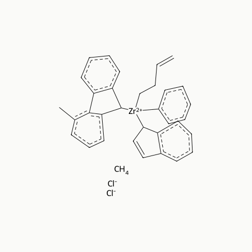 C.C=CC[CH2][Zr+2]([c]1ccccc1)([CH]1C=Cc2ccccc21)[CH]1c2ccccc2-c2c(C)cccc21.[Cl-].[Cl-]